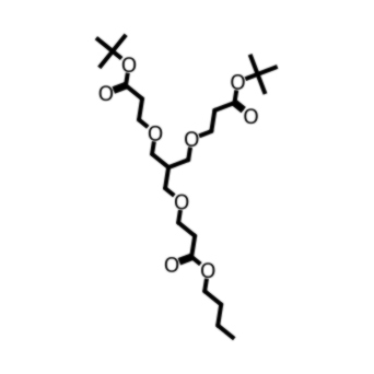 CCCCOC(=O)CCOCC(COCCC(=O)OC(C)(C)C)COCCC(=O)OC(C)(C)C